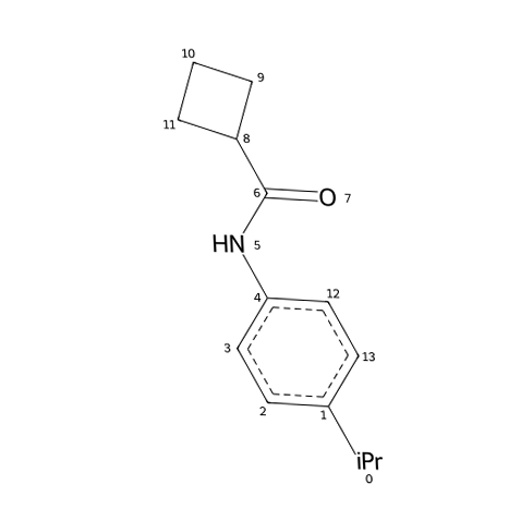 CC(C)c1ccc(NC(=O)C2CCC2)cc1